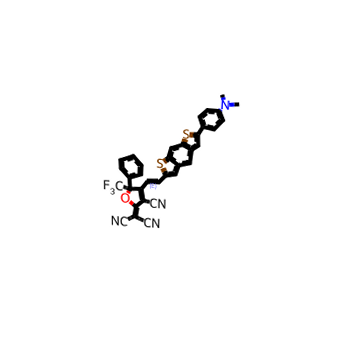 CN(C)c1ccc(-c2cc3cc4cc(/C=C/C5=C(C#N)C(=C(C#N)C#N)OC5(c5ccccc5)C(F)(F)F)sc4cc3s2)cc1